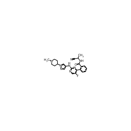 CC(C#N)NC(=O)c1ccccc1-c1nc(Nc2cnn(C3CCN(C)CC3)c2)ncc1F